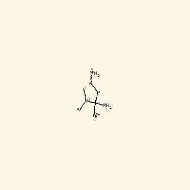 CCCC(N)(CCN)N(C)C